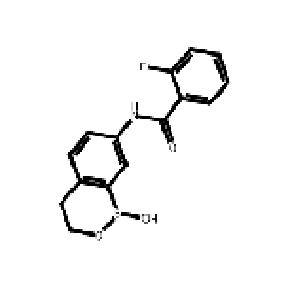 O=C(Nc1ccc2c(c1)B(O)OCC2)c1ccccc1F